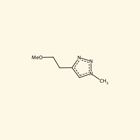 COCCc1cn(C)nn1